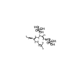 CC#CC(=CCCC(C)=CC)CCC=C(C)C.O=P(O)(O)O.O=P(O)(O)O